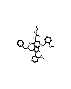 CCOC(=O)Oc1cn(Cc2ccccc2OC)c2sc(-c3ccccc3OC)c(CN(C)Cc3ccccc3)c2c1=O